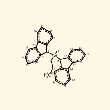 C[Si](CCC(F)(F)F)(C1c2ccccc2-c2ccccc21)C1c2ccccc2-c2ccccc21